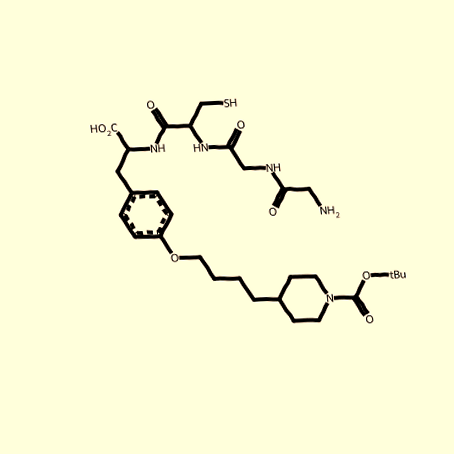 CC(C)(C)OC(=O)N1CCC(CCCCOc2ccc(CC(NC(=O)C(CS)NC(=O)CNC(=O)CN)C(=O)O)cc2)CC1